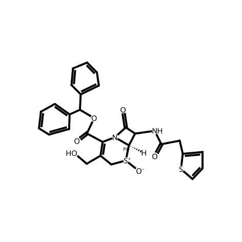 O=C(Cc1cccs1)NC1C(=O)N2C(C(=O)OC(c3ccccc3)c3ccccc3)=C(CO)C[S+]([O-])[C@H]12